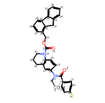 O=C(O)CN(C(=O)c1ccc(F)cc1)c1ccc2c(c1)CCCN2C(=O)OCc1cccc2c1Cc1ccccc1-2